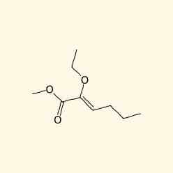 CCCC=C(OCC)C(=O)OC